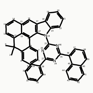 CC1(C)c2ccccc2-c2c3c1cccc3cc1c3ccccc3n(-c3nc(-c4ccccc4)nc(-c4cccc5ccccc45)n3)c21